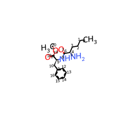 CCCC[C@H](N)C(=O)N[C@@H](Cc1ccccc1)C(=O)OC